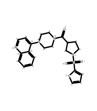 O=C(C1CCN(S(=O)(=O)c2cccs2)C1)N1CCN(c2ccnc3ccccc23)CC1